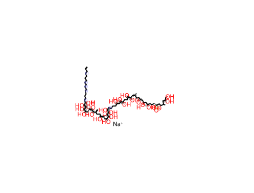 C=C/C=C/CC/C=C/C=C/C=C/CC/C=C/[C@@H](O)[C@H](O)[C@@H]1O[C@@H]([C@H](O)[C@H](O)C(=C)CC[C@@H](O)[C@H]2C[C@@H](O)[C@@H](O)[C@H]([C@@H](O)[C@H](O)/C=C/CC[C@H](O)C[C@@H](O)[C@@H](O)CC[C@@H](O)[C@H](O)C[C@@H](C)CC[C@H](O)CC(=O)C[C@](C)(O)CCC[C@H](CCC(C)C[C@@H](O)CO)S(=O)(=O)[O-])O2)C[C@@H](O)[C@H]1O.[Na+]